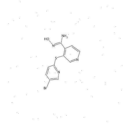 NC(=NO)c1ccncc1Sc1ccc(Br)cn1